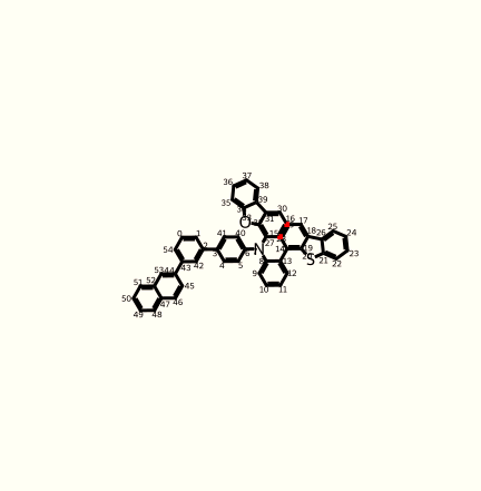 c1cc(-c2ccc(N(c3ccccc3-c3cccc4c3sc3ccccc34)c3cccc4c3oc3ccccc34)cc2)cc(-c2ccc3ccccc3c2)c1